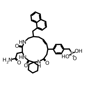 NC(=O)CC1NC(=O)C2(CCCCC2)NC(=O)CC(c2ccc(CP(=O)(O)O)cc2)C=CCC(Cc2cccc3ccccc23)CNC1=O